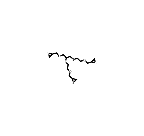 C(CSCC(COCC1CS1)SCCOCC1CS1)OCC1CS1